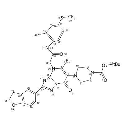 CCc1c(N2CCN(C(=O)OC(C)(C)C)CC2)c(=O)n2nc(-c3ccc4c(c3)CCO4)nc2n1CC(=O)Nc1ccc(SC(F)(F)F)cc1F